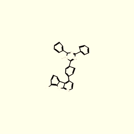 Clc1cccc2c1oc1nccc(-c3ccc(C4=NC(c5ccccc5)=NC(c5ccccc5)N4)cc3)c12